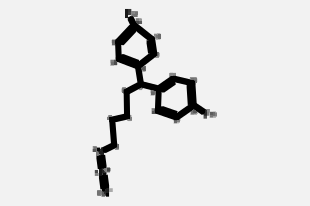 [N-]=[N+]=NCCCCC(c1ccc(F)cc1)c1ccc(F)cc1